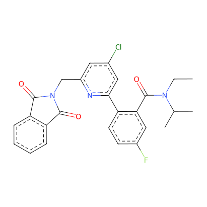 CCN(C(=O)c1cc(F)ccc1-c1cc(Cl)cc(CN2C(=O)c3ccccc3C2=O)n1)C(C)C